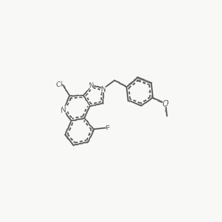 COc1ccc(Cn2cc3c(n2)c(Cl)nc2cccc(F)c23)cc1